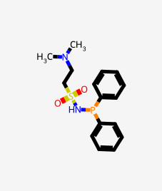 CN(C)CCS(=O)(=O)NP(c1ccccc1)c1ccccc1